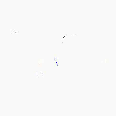 COc1ccc2c(c1)C(=O)N([C@H]1CCCC[C@@H]1N)[C@@H](c1ccc(Cl)cc1Cl)[C@@H]2C(=O)O